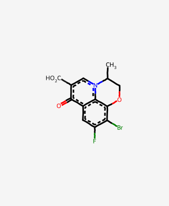 CC1COc2c(Br)c(F)cc3c(=O)c(C(=O)O)cn1c23